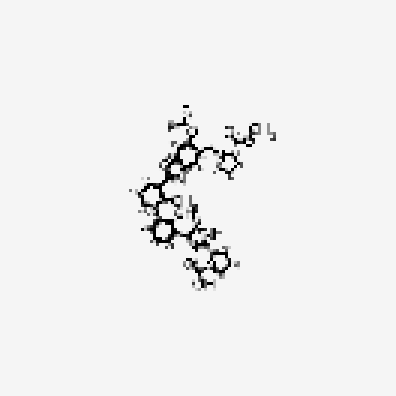 COC(=O)[C@@H]1CCCN1Cc1cc2nc(-c3cccc(-c4cccc(-c5c[nH]c([C@@H]6CCCN6C(=O)O)n5)c4C)c3C)oc2cc1OC(F)F